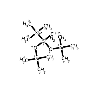 C[Si](C)(C)O[Si](C)(O[Si](C)(C)C)[Si](C)(C)C